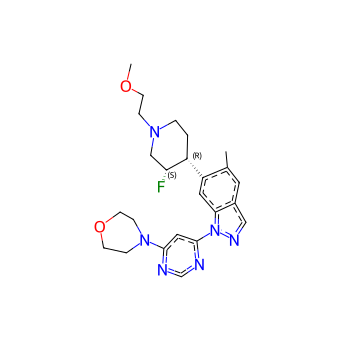 COCCN1CC[C@H](c2cc3c(cnn3-c3cc(N4CCOCC4)ncn3)cc2C)[C@H](F)C1